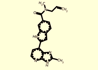 C=CCN(C)C(=O)c1ccc2cc(-c3ccnc4[nH]c(C)nc34)[nH]c2c1